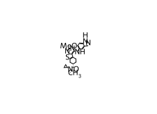 COc1cc2[nH]ncc2cc1Nc1ncnc2sc3c(c12)CC[C@H](C(=O)N(C)C1CC1)C3